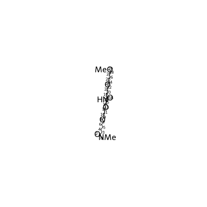 CNC(=O)CCCCCOCCCCOCCNC(=O)CCCCOCCCCCOC